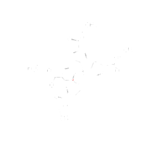 CCOC(=O)c1ccc(CC(c2ccc(C(=O)OCC)cc2)(c2ccc(C(=O)OCC)cc2)c2ccc(C(=O)OCC)cc2)cc1